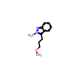 COCCCc1c2ccccc2nn1C